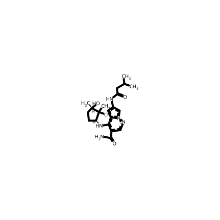 CC(C)CC(=O)Nc1cc2c(N[C@@H]3CC[C@@](C)(O)C3(C)C)c(C(N)=O)cnn2c1